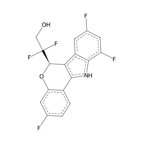 OCC(F)(F)[C@@H]1Oc2cc(F)ccc2-c2[nH]c3c(F)cc(F)cc3c21